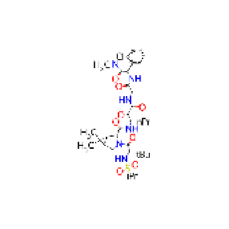 CCC[C@H](NC(=O)[C@@H]1C2C(CN1C(=O)[C@@H](NS(=O)(=O)C(C)C)C(C)(C)C)C2(C)C)C(=O)C(=O)NCC(=O)N[C@H](C(=O)N(C)C)c1ccccc1